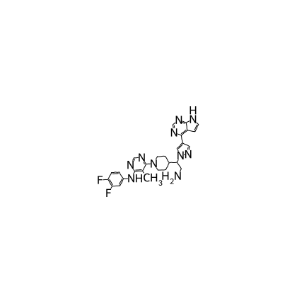 Cc1c(Nc2ccc(F)c(F)c2)ncnc1N1CCC(C(CN)n2cc(-c3ncnc4[nH]ccc34)cn2)CC1